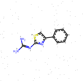 NC(N)=Nc1nc(-c2ccccc2)cs1